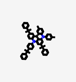 Cc1ccc(N2c3ccc(C)cc3B3c4cc(C(C)(C)c5ccccc5)ccc4N(c4ccc(C(C)(C)c5ccccc5)cc4)c4cc(C(C)(C)c5ccccc5)cc2c43)cc1